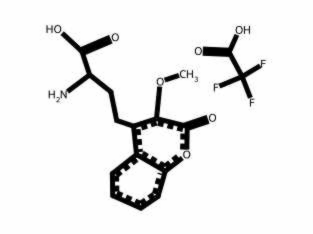 COc1c(CCC(N)C(=O)O)c2ccccc2oc1=O.O=C(O)C(F)(F)F